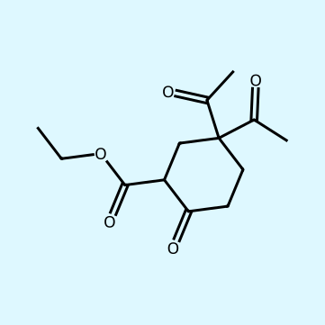 CCOC(=O)C1CC(C(C)=O)(C(C)=O)CCC1=O